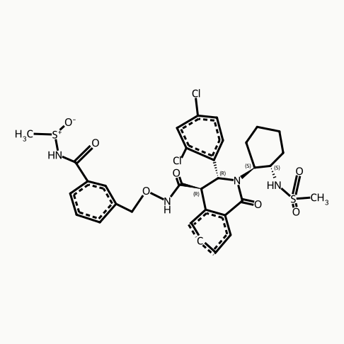 C[S+]([O-])NC(=O)c1cccc(CONC(=O)[C@@H]2c3ccccc3C(=O)N([C@H]3CCCC[C@@H]3NS(C)(=O)=O)[C@H]2c2ccc(Cl)cc2Cl)c1